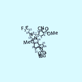 COC(=O)c1ccc(C2CN(CCC(F)(F)F)CCN2Cc2c(OC)cc(C)c3c2ccn3C(=O)OC(C)(C)C)cc1C#N